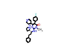 Cn1c(NC(CCc2ccccc2)[C@@H]2CCCN2)nc(-c2ccncc2)c(-c2ccc(F)cc2)c1=O